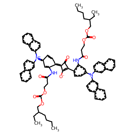 CCCCC(CC)COC(=O)OCCC(=O)NC1=CC(=[N+](c2ccc3ccccc3c2)c2ccc3ccccc3c2)C=C/C1=C1\C(=O)C(c2ccc(N(c3ccc4ccccc4c3)c3ccc4ccccc4c3)cc2NC(=O)CCOC(=O)OCC(CC)CCCC)=C1[O-]